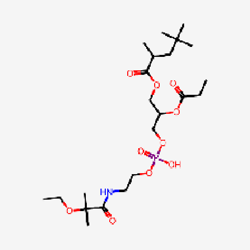 CCOC(C)(C)C(=O)NCCOP(=O)(O)OCC(COC(=O)C(C)CC(C)(C)C)OC(=O)CC